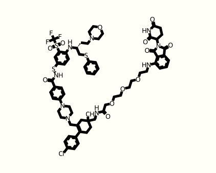 CC1(CNC(=O)COCCOCCOCCNc2cccc3c2C(=O)N(C2CCC(=O)NC2=O)C3=O)CCC(c2ccc(Cl)cc2)=C(CN2CCN(c3ccc(C(=O)NSc4ccc(N[C@H](CCN5CCOCC5)CSc5ccccc5)c(S(=O)(=O)C(F)(F)F)c4)cc3)CC2)C1